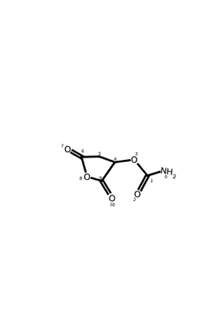 NC(=O)OC1CC(=O)OC1=O